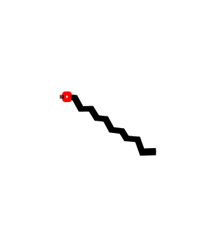 C=CCCCCCCCCC[O]